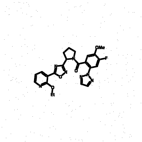 CCOc1ncccc1-c1nc(C2CCCN2C(=O)c2cc(OC)c(F)cc2-n2nccn2)no1